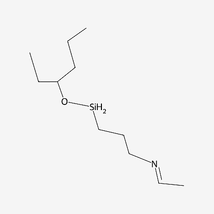 CC=NCCC[SiH2]OC(CC)CCC